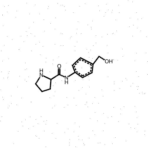 O=C(Nc1ccc(CO)cc1)C1CCCN1